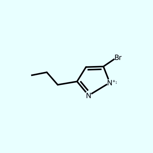 CCCC1=N[N+]C(Br)=C1